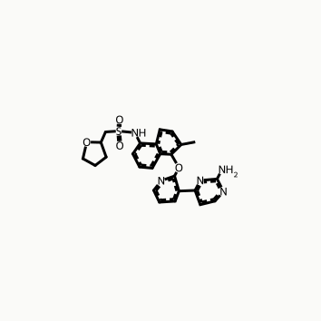 Cc1ccc2c(NS(=O)(=O)CC3CCCO3)cccc2c1Oc1ncccc1-c1ccnc(N)n1